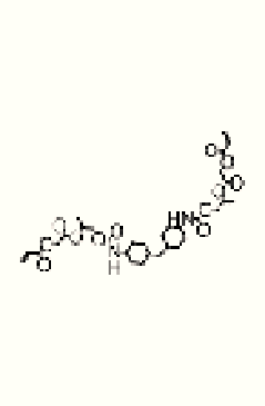 C=CC(=O)OCC(=O)OC(C)COC(=O)NC1CCC(CC2CCC(NC(=O)OCC(C)OC(=O)COC(=O)C=C)CC2)CC1